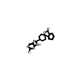 O=C1OC2(CCC(c3nc4cnc(Cl)nc4[nH]3)CC2)c2ccccc21